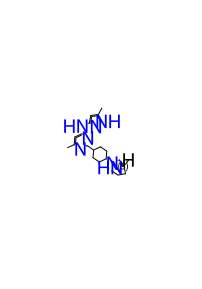 Cc1cc(Nc2cc(C)[nH]n2)nc(C2CCC(N3CC4C[C@@H](C3)N4)CC2)n1